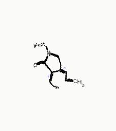 C=C/C=C1/CN(C(C)CCC)C(=O)/C1=C/C(C)C